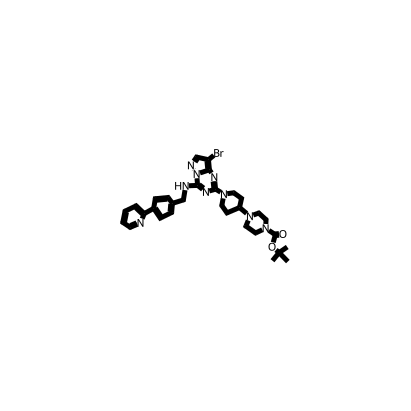 CC(C)(C)OC(=O)N1CCN(C2CCN(c3nc(NCc4ccc(-c5ccccn5)cc4)n4ncc(Br)c4n3)CC2)CC1